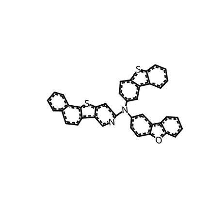 c1ccc2c(c1)ccc1c3cnc(N(c4ccc5oc6ccccc6c5c4)c4ccc5sc6ccccc6c5c4)cc3sc21